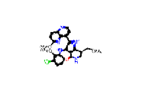 COC[C@H]1CNC(=O)c2c1[nH]c(-c1ccnc3ccc(OC)nc13)c2Nc1cccc(Cl)c1OC